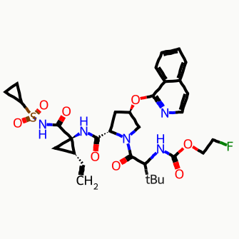 C=C[C@@H]1C[C@]1(NC(=O)[C@@H]1C[C@@H](Oc2nccc3ccccc23)CN1C(=O)C(NC(=O)OCCF)C(C)(C)C)C(=O)NS(=O)(=O)C1CC1